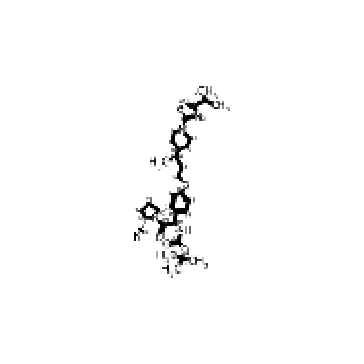 CC(C)c1noc(N2CCC([C@H](C)CCOc3ccc([C@H](NC(=O)OC(C)(C)C)C(=O)N4CCC[C@H]4C#N)cc3)CC2)n1